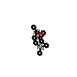 c1ccc(-c2nc(-c3ccccc3)nc(-c3ccccc3-c3ccc4c(c3)c3ccccc3n4-c3ccccc3-c3nc(-c4ccccc4)nc(-c4ccccc4)n3)n2)cc1